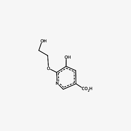 O=C(O)c1cnc(OCCO)c(O)c1